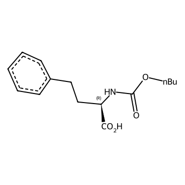 CCCCOC(=O)N[C@H](CCc1ccccc1)C(=O)O